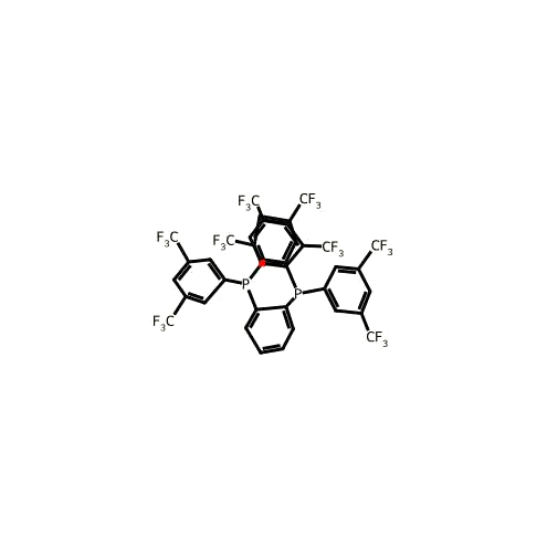 FC(F)(F)c1cc(P(c2cc(C(F)(F)F)cc(C(F)(F)F)c2)c2ccccc2P(c2cc(C(F)(F)F)cc(C(F)(F)F)c2)c2cc(C(F)(F)F)cc(C(F)(F)F)c2)cc(C(F)(F)F)c1